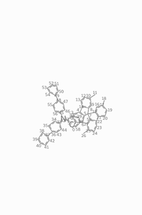 Cc1ccc2c(c1)C1(c3cc(C)ccc3-2)c2cc(C)ccc2-c2ccc(C)c(-c3ccc(N(c4ccc(-c5ccccc5)cc4)c4ccc(-c5ccccc5)cc4)cc3)c21